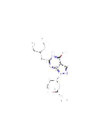 CCC(CC)Cc1nc2c(cnn2C2CCO[C@H](C)C2)c(=O)[nH]1